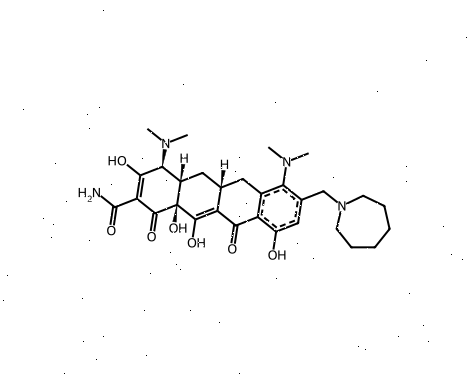 CN(C)c1c(CN2CCCCCC2)cc(O)c2c1C[C@H]1C[C@H]3[C@H](N(C)C)C(O)=C(C(N)=O)C(=O)[C@@]3(O)C(O)=C1C2=O